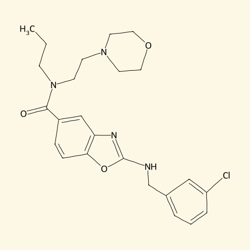 CCCN(CCN1CCOCC1)C(=O)c1ccc2oc(NCc3cccc(Cl)c3)nc2c1